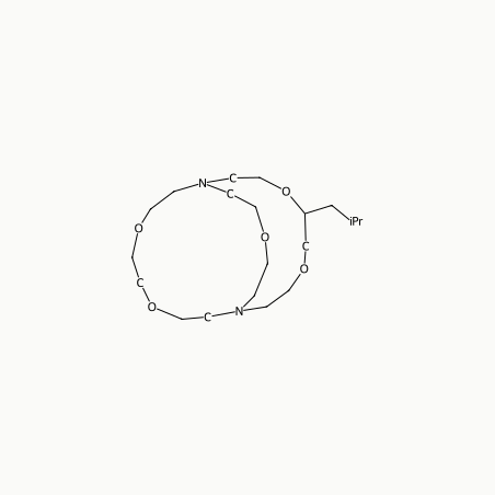 CC(C)CC1COCCN2CCOCCOCCN(CCOCC2)CCO1